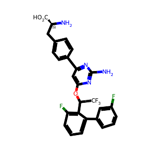 Nc1nc(OC(c2c(F)cccc2-c2cccc(F)c2)C(F)(F)F)cc(-c2ccc(C[C@H](N)C(=O)O)cc2)n1